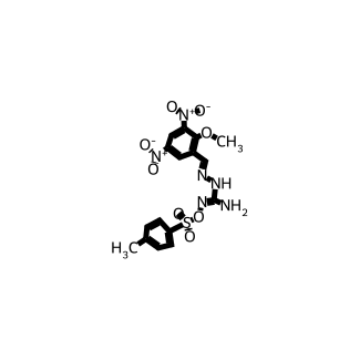 COc1c(C=NNC(N)=NOS(=O)(=O)c2ccc(C)cc2)cc([N+](=O)[O-])cc1[N+](=O)[O-]